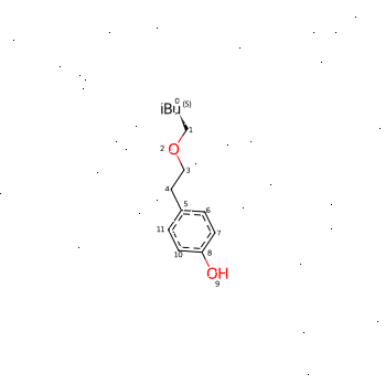 CC[C@H](C)COCCc1ccc(O)cc1